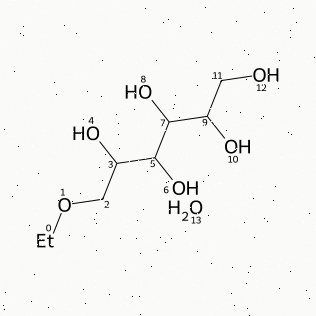 CCOCC(O)C(O)C(O)C(O)CO.O